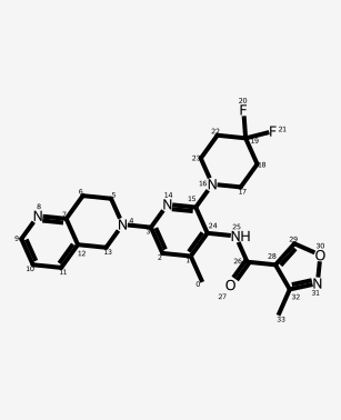 Cc1cc(N2CCc3ncccc3C2)nc(N2CCC(F)(F)CC2)c1NC(=O)c1conc1C